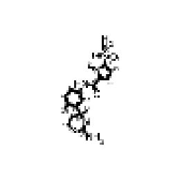 Cn1c(C(=O)Nc2ccc(F)c(C3(C)CCSC(N)=N3)c2)ccc1S(N)(=O)=O